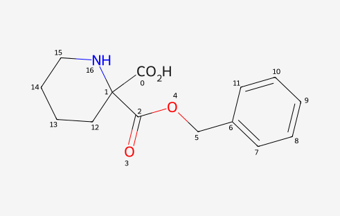 O=C(O)C1(C(=O)OCc2ccccc2)CCCCN1